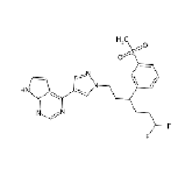 CS(=O)(=O)c1cccc(C(CCC(F)F)CCn2cc(-c3ncnc4[nH]ccc34)cn2)c1